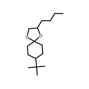 CCCCC1COC2(CCC(C(C)(C)C)CC2)O1